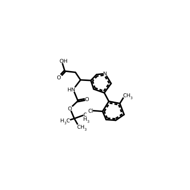 Cc1cccc(Cl)c1-c1cncc(C(CC(=O)O)NC(=O)OC(C)(C)C)c1